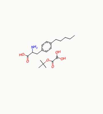 CC(C)(C)OC(=O)B(O)O.CCCCCc1ccc(CC(N)C(=O)O)cc1